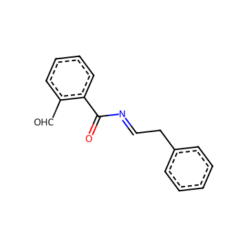 O=Cc1ccccc1C(=O)N=CCc1ccccc1